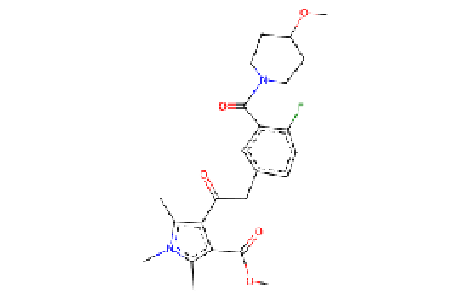 COC(=O)c1c(C(=O)Cc2ccc(F)c(C(=O)N3CCC(OC)CC3)c2)c(C)n(C)c1C